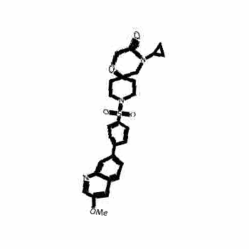 COc1cnc2cc(-c3ccc(S(=O)(=O)N4CCC5(CC4)CN(C4CC4)C(=O)CO5)cc3)ccc2c1